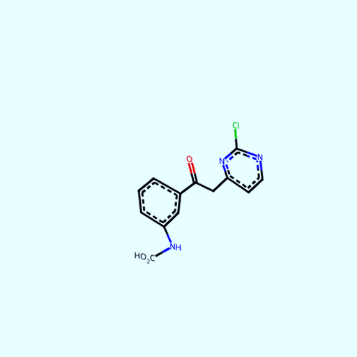 O=C(O)Nc1cccc(C(=O)Cc2ccnc(Cl)n2)c1